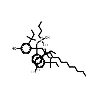 CCCCCCCCCCC(CC(O[PH](O)(O)CCCC)(c1ccc(O)cc1C(C)(C)CC)c1ccc(O)cc1C(C)(C)CC)c1ccc(O)cc1C(C)(C)CC